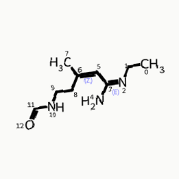 CC/N=C(N)\C=C(\C)CCNC=O